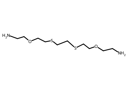 NCCOCCSCCSCCOCCN